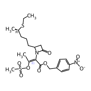 CCS[C@H](C)CCCC1CC(=O)N1/C(C(=O)OCc1ccc([N+](=O)[O-])cc1)=C(\C)OS(C)(=O)=O